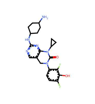 NC1CCC(Nc2ncc3c(n2)N(C2CC2)C(=O)N(c2ccc(F)c(O)c2F)C3)CC1